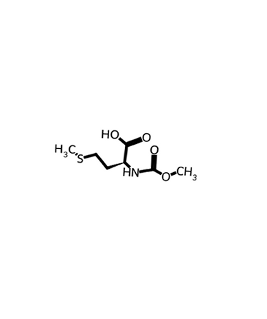 COC(=O)N[C@@H](CCSC)C(=O)O